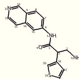 NCC(C(=O)Nc1ccc2cnccc2c1)c1ccsc1